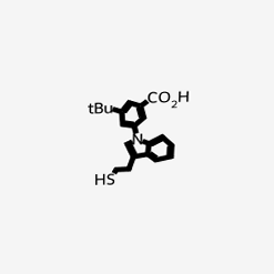 CC(C)(C)c1cc(C(=O)O)cc(-n2cc(CCS)c3ccccc32)c1